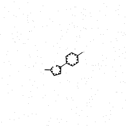 CC(C)c1ccc(-c2ccc(C(C)(C)C)o2)cc1